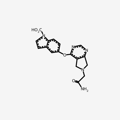 NC(=O)CN1Cc2ncnc(Oc3ccc4c(ccn4C(=O)O)c3)c2C1